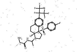 CC(NC(=O)[C@H](C)N)[C@@H]1CC[C@@]2(S(=O)(=O)c3ccc(F)cc3)c3ccc(C(F)(C(F)(F)F)C(F)(F)F)cc3CC[C@@H]12